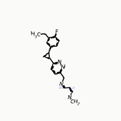 C=N/C=C\C=N/Cc1ccc(C2CC2c2ccc(F)c(CC)c2)nn1